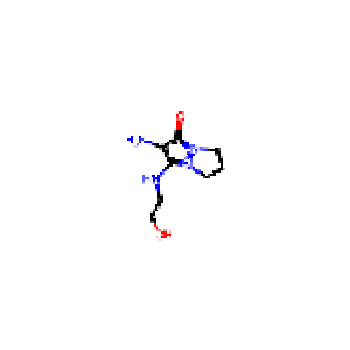 Nc1c(NCCO)n2n(c1=O)CCC2